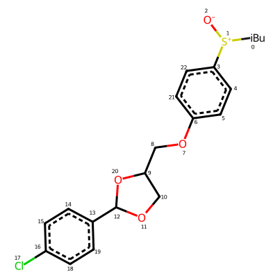 CCC(C)[S+]([O-])c1ccc(OCC2COC(c3ccc(Cl)cc3)O2)cc1